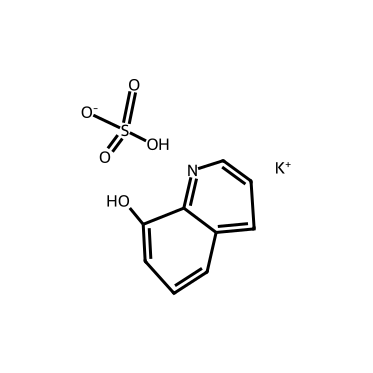 O=S(=O)([O-])O.Oc1cccc2cccnc12.[K+]